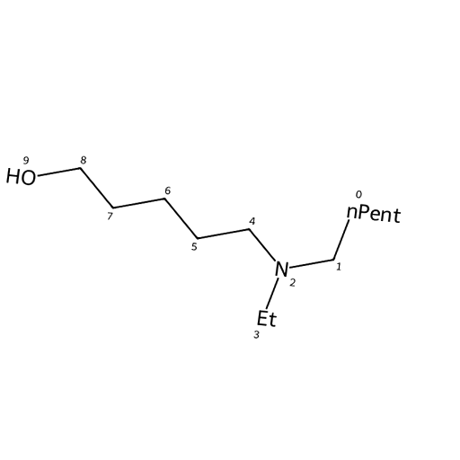 CCCCCCN(CC)CCCCCO